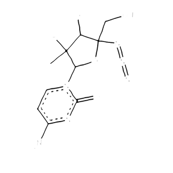 CC1(F)C(n2ccc(N)nc2=O)OC(CO)(N=[N+]=[N-])C1O